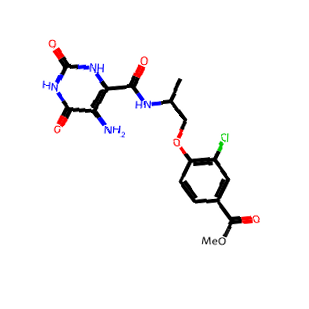 COC(=O)c1ccc(OCC(C)NC(=O)c2[nH]c(=O)[nH]c(=O)c2N)c(Cl)c1